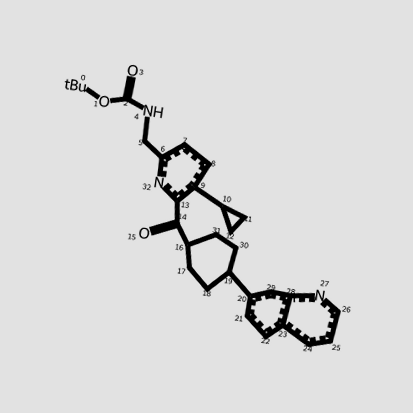 CC(C)(C)OC(=O)NCc1ccc(C2CC2)c(C(=O)C2CCC(c3ccc4cccnc4c3)CC2)n1